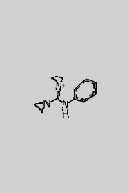 c1ccc(NC(N2CC2)=[N+]2CC2)cc1